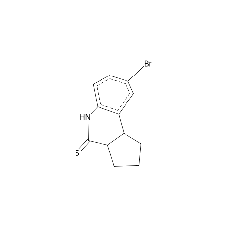 S=C1Nc2ccc(Br)cc2C2CCCC12